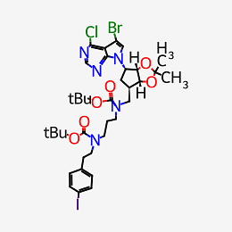 CC(C)(C)OC(=O)N(CCCN(C[C@H]1C[C@@H](n2cc(Br)c3c(Cl)ncnc32)[C@@H]2OC(C)(C)O[C@H]12)C(=O)OC(C)(C)C)CCc1ccc(I)cc1